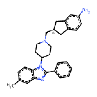 Cc1ccc2c(c1)nc(-c1ccccc1)n2C1CCN(C[C@@H]2Cc3ccc(N)cc3C2)CC1